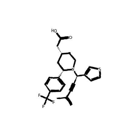 C=C(C)C#C[C@H](c1ccsc1)N1CC[C@@H](CC(=O)O)C[C@H]1c1ccc(C(F)(F)F)cc1